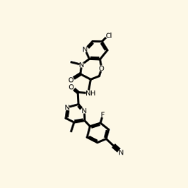 Cc1cnc(C(=O)NC2COc3cc(Cl)cnc3N(C)C2=O)nc1-c1ccc(C#N)cc1F